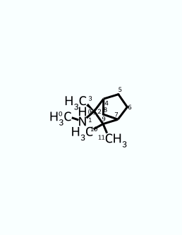 CN[C@]1(C)C2CCC(C2)C1(C)C